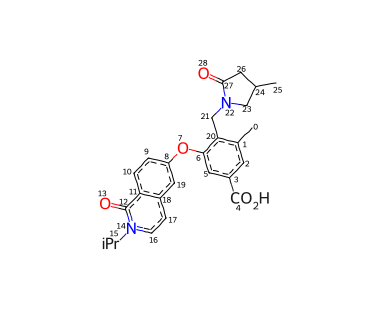 Cc1cc(C(=O)O)cc(Oc2ccc3c(=O)n(C(C)C)ccc3c2)c1CN1CC(C)CC1=O